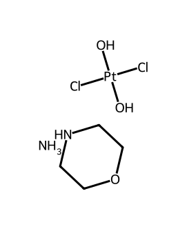 C1COCCN1.N.[OH][Pt]([OH])([Cl])[Cl]